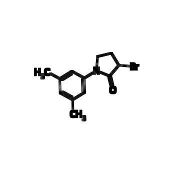 Cc1cc(C)cc(N2CCC(Br)C2=O)c1